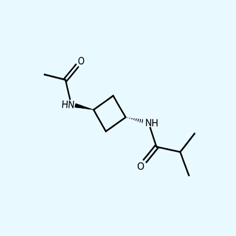 CC(=O)N[C@H]1C[C@H](NC(=O)C(C)C)C1